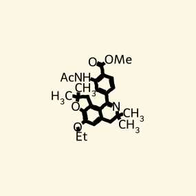 CCOc1cc2c(c3c1OC(C)(C)C3)C(c1ccc(C(=O)OC)c(NC(C)=O)c1)=NC(C)(C)C2